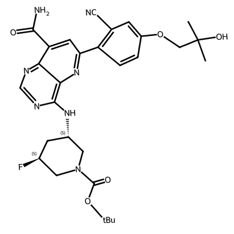 CC(C)(O)COc1ccc(-c2cc(C(N)=O)c3ncnc(N[C@H]4C[C@H](F)CN(C(=O)OC(C)(C)C)C4)c3n2)c(C#N)c1